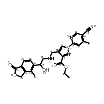 CCOC(=O)c1nn(-c2cc(C)c(C#N)cn2)cc1CNCC(O)c1ccc2c(c1C)COC2=O